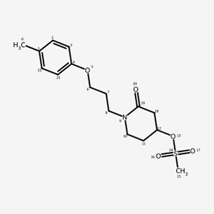 Cc1ccc(OCCCN2CCC(OS(C)(=O)=O)CC2=O)cc1